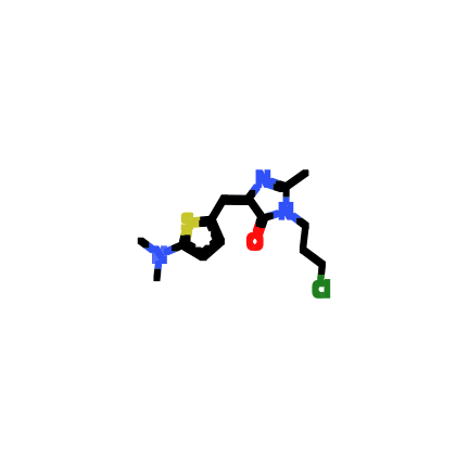 CC1=N/C(=C/c2ccc(N(C)C)s2)C(=O)N1CCCCl